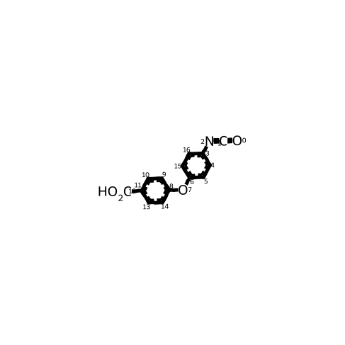 O=C=Nc1ccc(Oc2ccc(C(=O)O)cc2)cc1